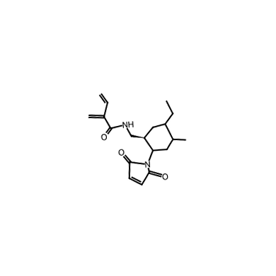 C=CC(=C)C(=O)NC[C@H]1CC(CC)C(C)CC1N1C(=O)C=CC1=O